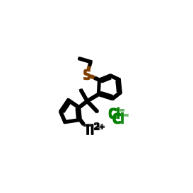 CCSc1ccccc1C(C)(C)C1=[C]([Ti+2])CC=C1.[Cl-].[Cl-]